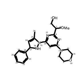 COC(CO)c1nc(N2CCOCC2)cc(N2NC(c3ccccc3)C=C2C)n1